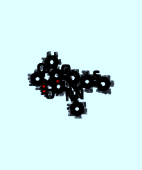 O=P1(c2ccccc2)c2ccccc2C2(c3ccccc3Oc3cc(-c4nc(-c5ccccc5)nc(-c5ccc6sc7ccccc7c6c5)n4)ccc32)c2cc3c(cc21)oc1ccccc13